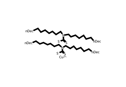 CCCCCCCCCCCCCCCCCN(CCCCCCCCCCCCCCCCC)C(=S)[S-].CCCCCCCCCCCCCCCCCN(CCCCCCCCCCCCCCCCC)C(=S)[S-].[Cu+2]